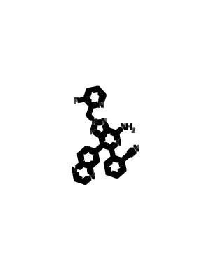 N#Cc1ccccc1-c1nc(N)c2nn(Cc3ncccc3F)nc2c1-c1ccc2nccnc2c1